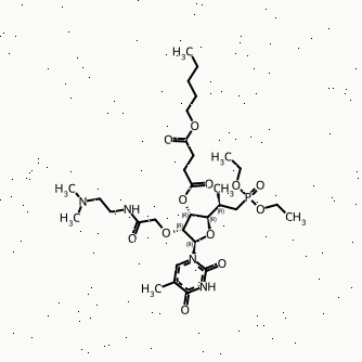 CCCCCOC(=O)CCC(=O)O[C@H]1[C@@H](OCC(=O)NCCN(C)C)[C@H](n2cc(C)c(=O)[nH]c2=O)O[C@@H]1[C@@H](C)CP(=O)(OCC)OCC